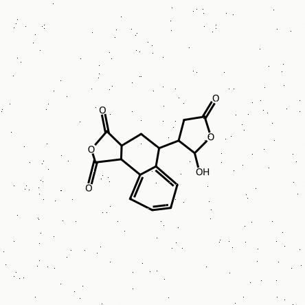 O=C1CC(C2CC3C(=O)OC(=O)C3c3ccccc32)C(O)O1